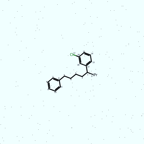 [CH2]C(C)C(CCCCc1ccccc1)c1cccc(Cl)c1